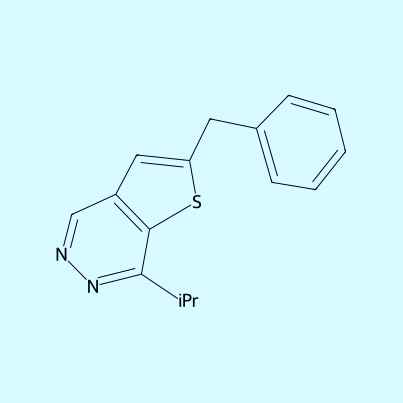 CC(C)c1nncc2cc(Cc3ccccc3)sc12